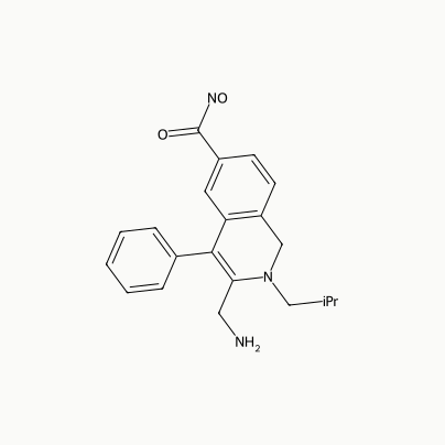 CC(C)CN1Cc2ccc(C(=O)N=O)cc2C(c2ccccc2)=C1CN